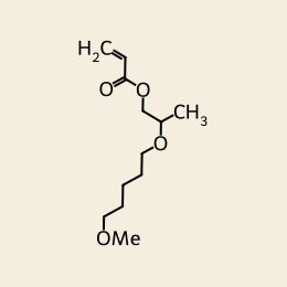 C=CC(=O)OCC(C)OCCCCCOC